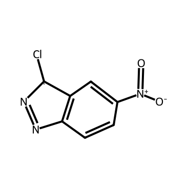 O=[N+]([O-])c1ccc2c(c1)[C](Cl)N=N2